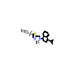 CCOC(=O)c1cnc(CN(CC)c2ccc(C3CC3)c3ccccc23)s1